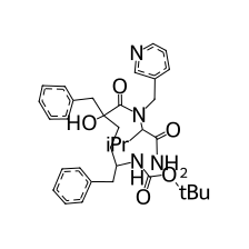 CC(C)C(C(N)=O)N(Cc1cccnc1)C(=O)C(O)(CCC(Cc1ccccc1)NC(=O)OC(C)(C)C)Cc1ccccc1